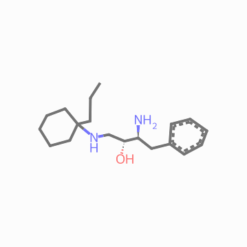 CCCC1(NC[C@@H](O)[C@@H](N)Cc2ccccc2)CCCCC1